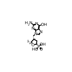 Nc1nc(O)c2ncn(C[C@@H]3C[C@H](P(=O)(O)O)O[C@@H]3I)c2n1